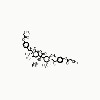 Br.Br.CCC(=O)Oc1ccc(CC[N+]2(C)C(C)CC(C(S)(C(=O)O)C3CC(C)[N+](C)(CCc4ccc(OC(=O)CC)cc4)C(C)C3)CC2C)cc1